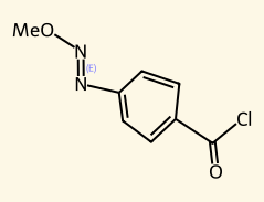 CO/N=N/c1ccc(C(=O)Cl)cc1